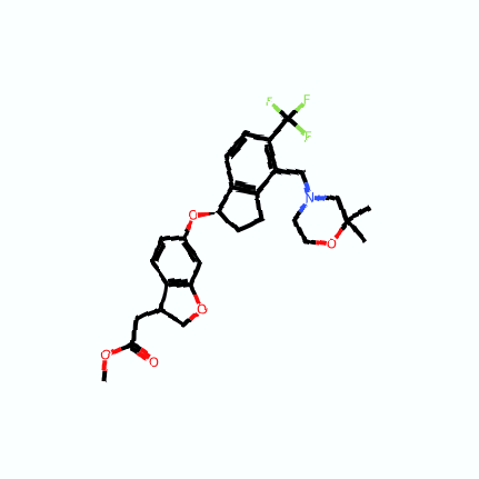 COC(=O)CC1COc2cc(O[C@@H]3CCc4c3ccc(C(F)(F)F)c4CN3CCOC(C)(C)C3)ccc21